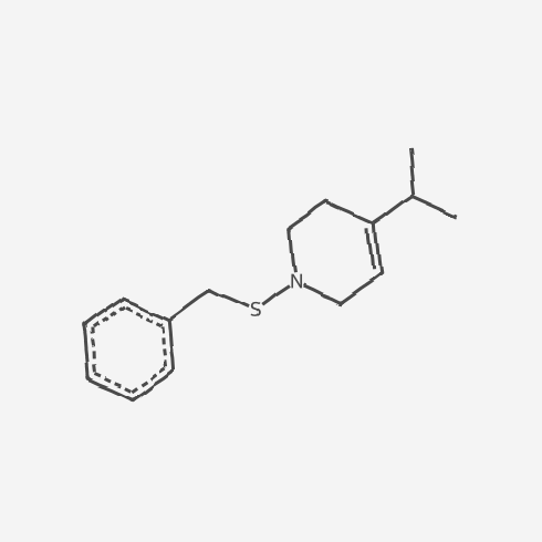 CC(C)C1=CCN(SCc2ccccc2)CC1